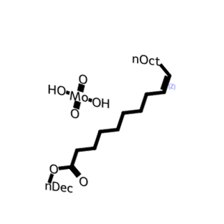 CCCCCCCC/C=C\CCCCCCCC(=O)OCCCCCCCCCC.[O]=[Mo](=[O])([OH])[OH]